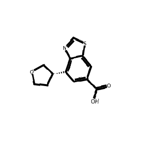 O=C(O)c1cc([C@@H]2CCOC2)c2ncsc2c1